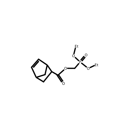 CCOP(=O)(COC(=O)C1CC2C=CC1C2)OCC